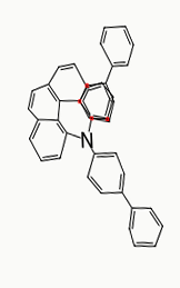 c1ccc(-c2ccc(N(c3ccc(-c4ccccc4)cc3)c3cccc4ccc5ccc6ccccc6c5c34)cc2)cc1